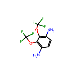 Nc1ccc(N)c(OC(F)(F)F)c1OC(F)(F)F